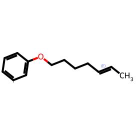 C/C=C/CCCCOc1c[c]ccc1